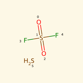 O=S(=O)(F)F.S